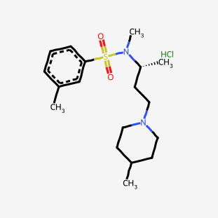 Cc1cccc(S(=O)(=O)N(C)[C@H](C)CCN2CCC(C)CC2)c1.Cl